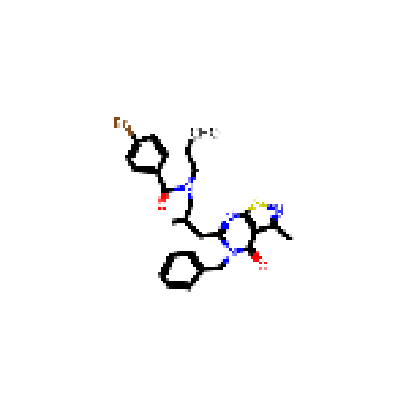 Cc1nsc2nc(CC(C)CN(CCC=O)C(=O)c3ccc(Br)cc3)n(Cc3ccccc3)c(=O)c12